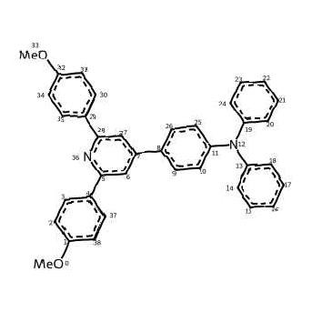 COc1ccc(-c2cc(-c3ccc(N(c4ccccc4)c4ccccc4)cc3)cc(-c3ccc(OC)cc3)n2)cc1